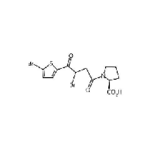 O=C(c1ccc(Br)s1)C(Br)CC(=O)N1CCC[C@H]1C(=O)O